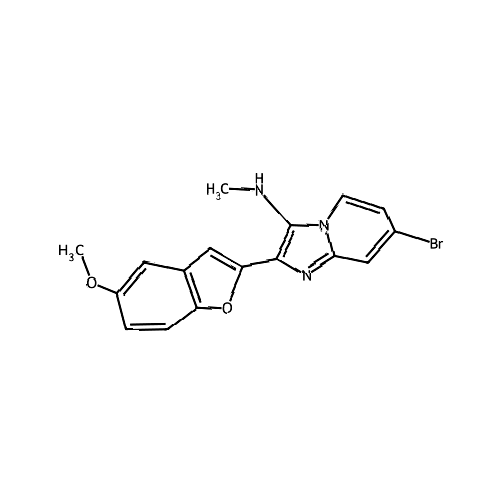 CNc1c(-c2cc3cc(OC)ccc3o2)nc2cc(Br)ccn12